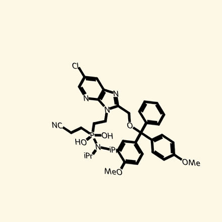 COc1ccc(C(OCc2nc3cc(Cl)cnc3n2CCP(O)(O)(CCC#N)N(C(C)C)C(C)C)(c2ccccc2)c2ccc(OC)cc2)cc1